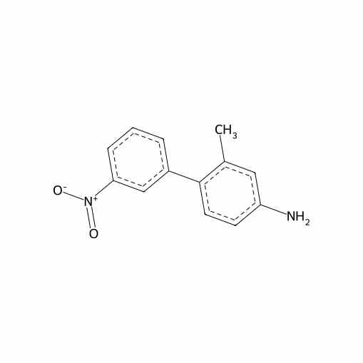 Cc1cc(N)ccc1-c1cccc([N+](=O)[O-])c1